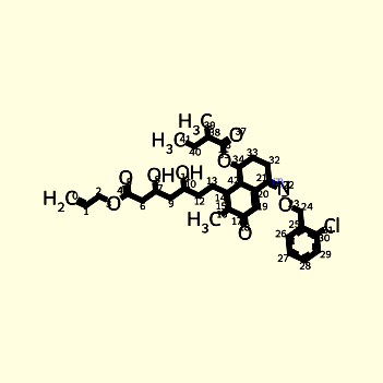 C=CCOC(=O)CC(O)CC(O)CCC1C(C)C(=O)C=C2/C(=N\OCc3ccccc3Cl)CCC(OC(=O)C(C)CC)C21